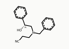 N#CCCN(Cc1ccccc1)C[C@H](O)c1ccccc1